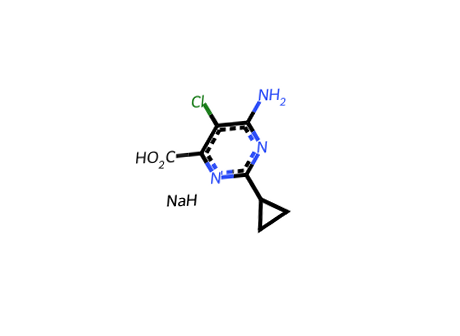 Nc1nc(C2CC2)nc(C(=O)O)c1Cl.[NaH]